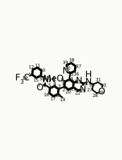 COc1c(-c2cc(C(=O)Nc3cccc(C(F)(F)F)c3)ccc2C)cc2cnc(NC3CCOCC3)nc2c1-c1ccccn1